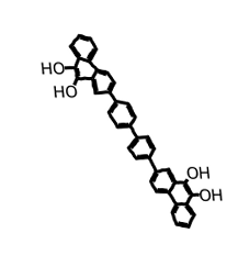 Oc1c(O)c2cc(-c3ccc(-c4ccc(-c5ccc6c(c5)c(O)c(O)c5ccccc56)cc4)cc3)ccc2c2ccccc12